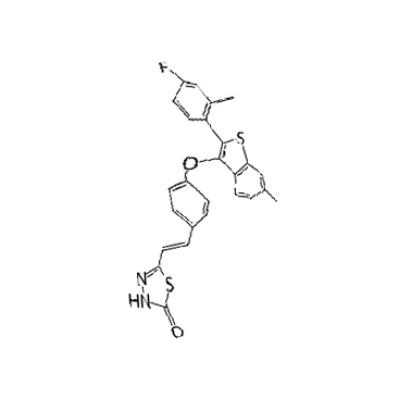 Cc1ccc2c(Oc3ccc(/C=C/c4n[nH]c(=O)s4)cc3)c(-c3ccc(F)cc3C)sc2c1